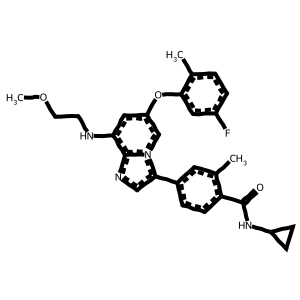 COCCNc1cc(Oc2cc(F)ccc2C)cn2c(-c3ccc(C(=O)NC4CC4)c(C)c3)cnc12